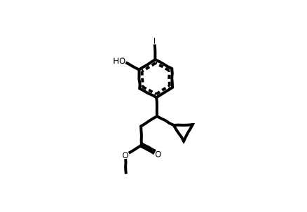 COC(=O)CC(c1ccc(I)c(O)c1)C1CC1